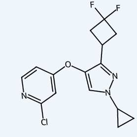 FC1(F)CC(c2nn(C3CC3)cc2Oc2ccnc(Cl)c2)C1